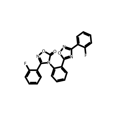 O=c1onc(-c2ccccc2F)n1-c1ccccc1-c1nc(-c2ccccc2F)no1